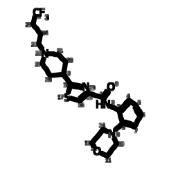 O=C(Nc1ccccc1N1CCOCC1)c1csc(C2CCN(CCCC(F)(F)F)CC2)n1